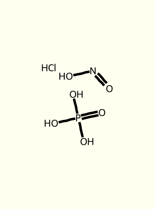 Cl.O=NO.O=P(O)(O)O